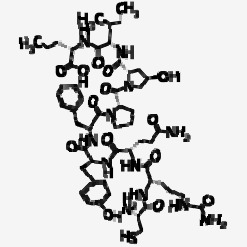 CCC[C@H](NC(=O)[C@@H](NC(=O)[C@@H]1C[C@@H](O)CN1C(=O)[C@@H]1CCCN1C(=O)[C@H](Cc1ccccc1)NC(=O)[C@H](Cc1ccc(O)cc1)NC(=O)[C@H](CCC(N)=O)NC(=O)[C@H](CCCNC(N)=O)NC(=O)[C@@H](N)CS)[C@@H](C)CC)C(=O)O